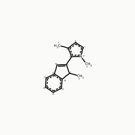 C[C]1C(c2c(C)ccn2C)=Cc2ccccc21